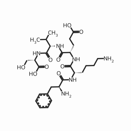 CC(C)[C@H](NC(=O)[C@H](CCC(=O)O)NC(=O)[C@H](CCCCN)NC(=O)[C@@H](N)Cc1ccccc1)C(=O)N[C@@H](CO)C(=O)O